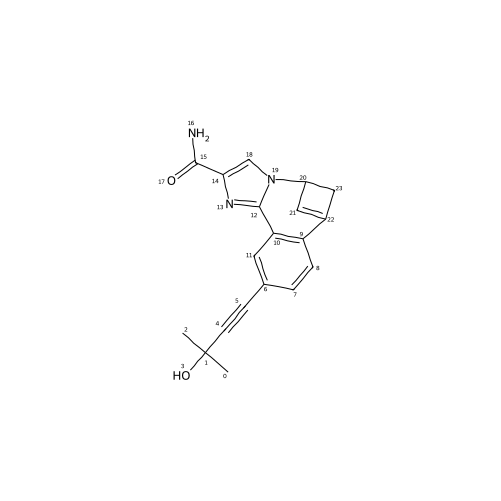 CC(C)(O)C#Cc1ccc2c(c1)-c1nc(C(N)=O)cn1C1C=C2C1